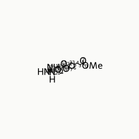 COC(=O)CCc1ccc(OC(=O)c2ccc(NC(=N)N)cc2)cc1